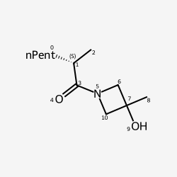 CCCCC[C@H](C)C(=O)N1CC(C)(O)C1